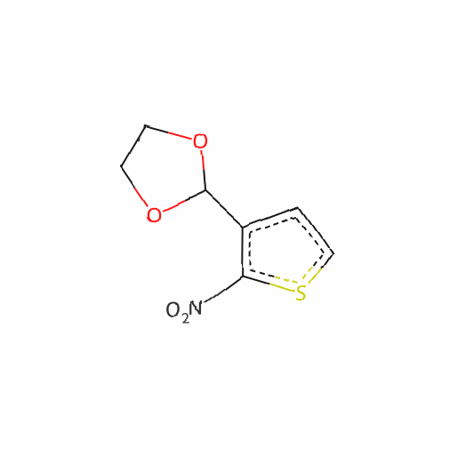 O=[N+]([O-])c1sccc1C1OCCO1